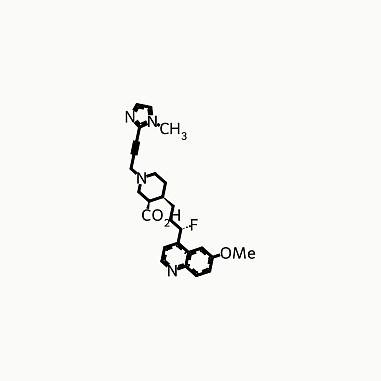 COc1ccc2nccc([C@@H](F)CC[C@@H]3CCN(CC#Cc4nccn4C)C[C@@H]3C(=O)O)c2c1